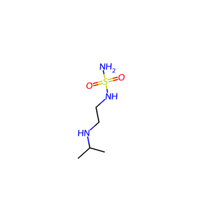 CC(C)NCCNS(N)(=O)=O